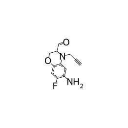 C#CCN1c2cc(N)c(F)cc2OCC1C=O